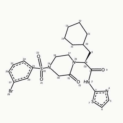 O=C(Nc1nccs1)[C@H](CC1CCCCC1)N1CCN(S(=O)(=O)c2cccc(Br)c2)CC1=O